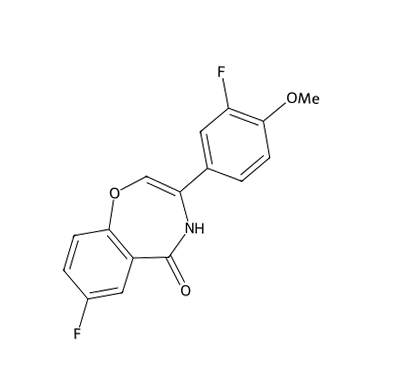 COc1ccc(C2=COc3ccc(F)cc3C(=O)N2)cc1F